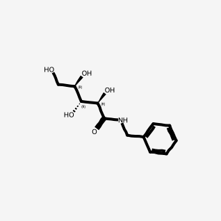 O=C(NCc1ccccc1)[C@H](O)[C@H](O)[C@H](O)CO